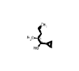 C=CC[C@H](C)[C@H](O)C1CC1